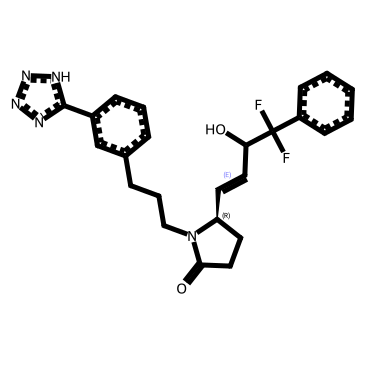 O=C1CC[C@H](/C=C/C(O)C(F)(F)c2ccccc2)N1CCCc1cccc(-c2nnn[nH]2)c1